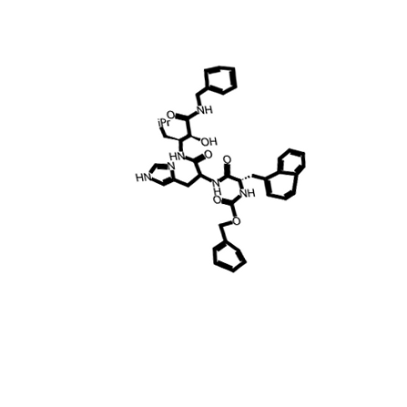 CC(C)C[C@H](NC(=O)C(Cc1c[nH]cn1)NC(=O)[C@H](Cc1cccc2ccccc12)NC(=O)OCc1ccccc1)[C@H](O)C(=O)NCc1ccccc1